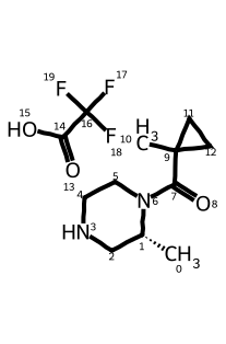 C[C@@H]1CNCCN1C(=O)C1(C)CC1.O=C(O)C(F)(F)F